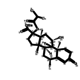 COC(=O)[C@@]1(OC(=O)C(Cl)Cl)CC[C@H]2[C@@H]3C[C@H](F)C4=CC(=O)C=C[C@]4(C)[C@@]3(F)[C@@H](O)C[C@@]21C